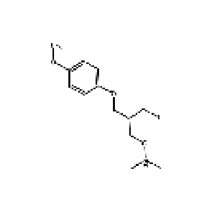 C[SiH](C)OCC(CI)COc1ccc(OC(F)(F)F)cc1